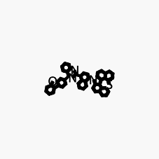 c1ccc2c(-c3ccc4c(c3)oc3ccccc34)nc(-c3ccc(-n4c5ccc6cccc7sc8cccc9ccc4c(c98)c5c67)c4ccccc34)nc2c1